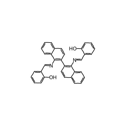 Oc1ccccc1C=Nc1c(-c2ccc3ccccc3c2N=Cc2ccccc2O)ccc2ccccc12